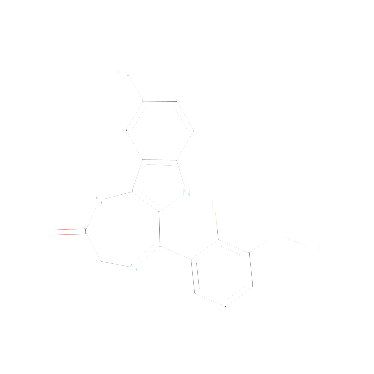 COc1cccc(C2=NCC(=O)Nc3c2[nH]c2ccc(Cl)cc32)c1F